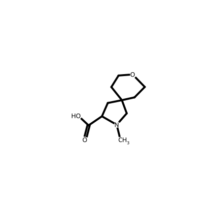 CN1CC2(CCOCC2)CC1C(=O)O